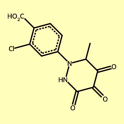 CC1C(=O)C(=O)C(=O)NN1c1ccc(C(=O)O)c(Cl)c1